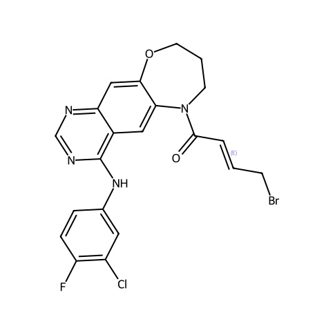 O=C(/C=C/CBr)N1CCCOc2cc3ncnc(Nc4ccc(F)c(Cl)c4)c3cc21